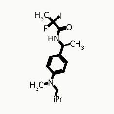 CC(C)CN(C)c1ccc([C@H](C)NC(=O)C(C)(F)I)cc1